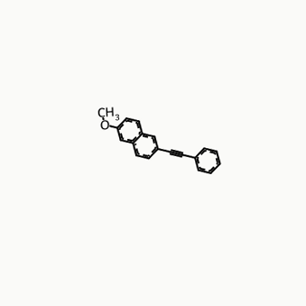 COc1ccc2cc(C#Cc3ccccc3)ccc2c1